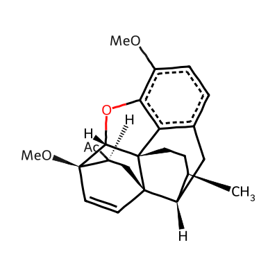 COc1ccc2c3c1O[C@H]1[C@@]4(OC)C=C[C@@]5(C[C@@H]4C(C)=O)[C@@H](C2)[C@H](C)CC[C@]315